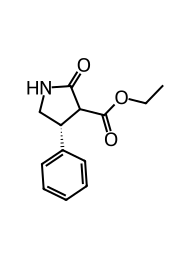 CCOC(=O)C1C(=O)NC[C@H]1c1ccccc1